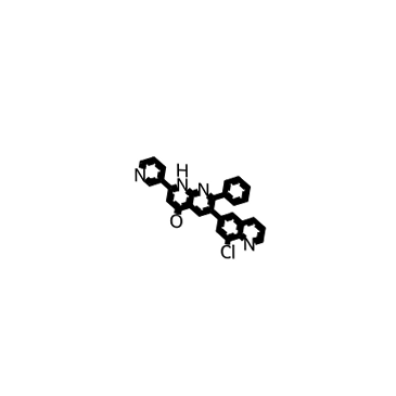 O=c1cc(-c2cccnc2)[nH]c2nc(-c3ccccc3)c(-c3cc(Cl)c4ncccc4c3)cc12